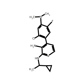 CC(Nc1nccc(-c2cc(F)c(N(C)C)cc2Cl)c1N)C1CC1